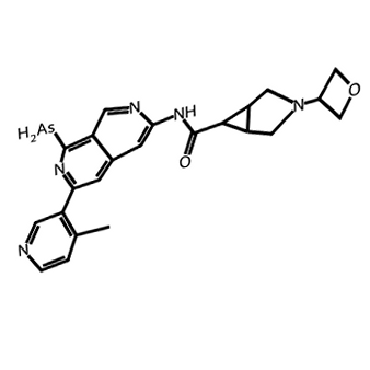 Cc1ccncc1-c1cc2cc(NC(=O)C3C4CN(C5COC5)CC43)ncc2c([AsH2])n1